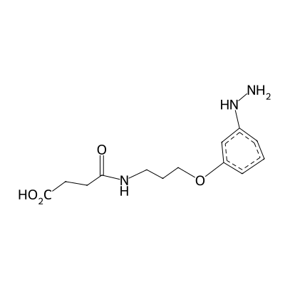 NNc1cccc(OCCCNC(=O)CCC(=O)O)c1